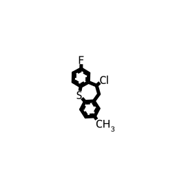 Cc1ccc2c(c1)CC(Cl)c1cc(F)ccc1S2